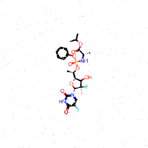 CC(C)OC(=O)[C@H](C)N[P@@](=O)(Oc1ccccc1)O[C@H](C)[C@H]1O[C@@H](n2cc(F)c(=O)[nH]c2=O)[C@](C)(F)C1O